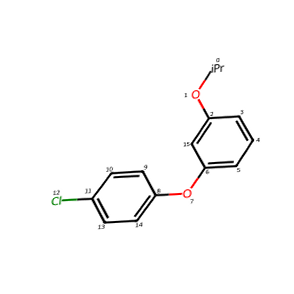 CC(C)Oc1cccc(Oc2ccc(Cl)cc2)c1